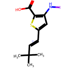 CC(C)(C)/C=C/c1cc(NI)c(C(=O)O)s1